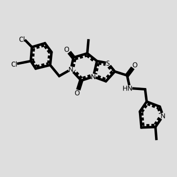 Cc1ccc(CNC(=O)c2cn3c(=O)n(Cc4ccc(Cl)c(Cl)c4)c(=O)c(C)c3s2)cn1